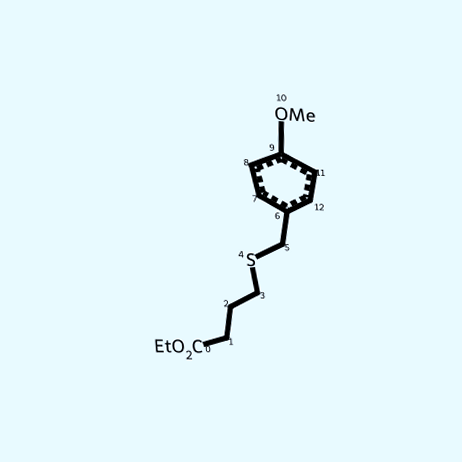 CCOC(=O)CCCSCc1ccc(OC)cc1